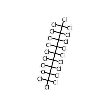 [O]C(Cl)(C(Cl)(Cl)Cl)C(Cl)(Cl)C(Cl)(Cl)C(Cl)(Cl)C(Cl)(Cl)C(Cl)(Cl)C(Cl)(Cl)C(Cl)(Cl)Cl